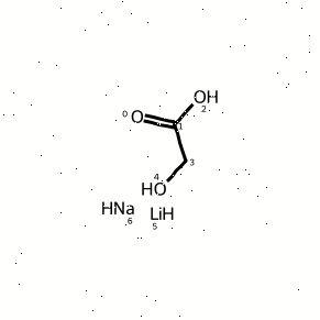 O=C(O)CO.[LiH].[NaH]